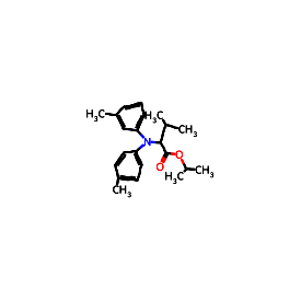 Cc1ccc(N(c2cccc(C)c2)C(C(=O)OC(C)C)C(C)C)cc1